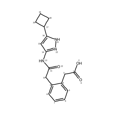 O=C(O)Cc1ccccc1CC(=O)Nc1cc(C2CCC2)[nH]n1